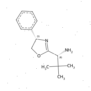 CC(C)(C)[C@@H](N)C1=N[C@@H](c2ccccc2)CO1